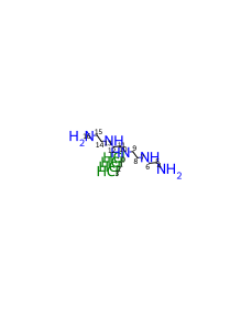 Cl.Cl.Cl.Cl.NCCNCCNCCNCCN